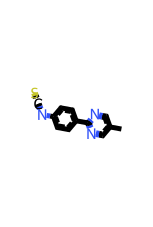 Cc1cnc(-c2ccc(N=C=S)cc2)nc1